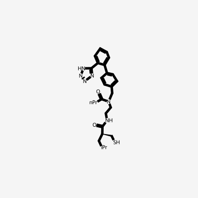 CCCC(=O)N(CCNC(=O)[C@@H](CS)CC(C)C)Cc1ccc(-c2ccccc2-c2nnn[nH]2)cc1